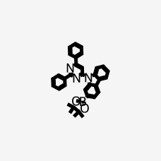 CC1(C)OB(c2ccc3c4ccccc4n(-c4cc(-c5ccccc5)nc(-c5ccccc5)n4)c3c2)OC1(C)C